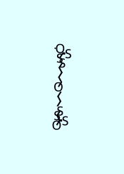 COC(=S)SSCCCCOCCCCSSC(=S)OC